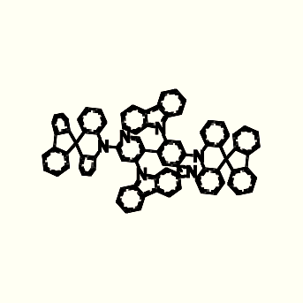 N#Cc1cc(-c2cnc(N3c4ccccc4C4(c5ccccc5-c5ccccc54)c4ccccc43)cc2-n2c3ccccc3c3ccccc32)c(-n2c3ccccc3c3ccccc32)cc1N1c2ccccc2C2(c3ccccc3-c3ccccc32)c2ccccc21